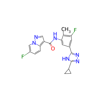 Cc1c(F)cc(-c2nnc(C3CC3)[nH]2)cc1NC(=O)c1cnn2cc(F)ccc12